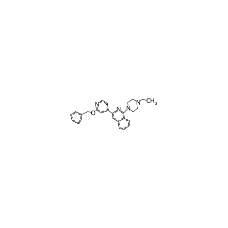 CCN1CCN(c2nc(-c3ccnc(OCc4ccccc4)c3)cc3ccccc23)CC1